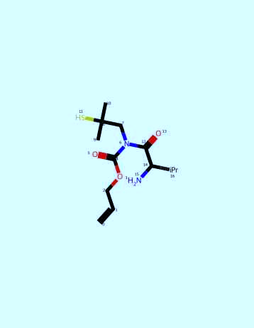 C=CCOC(=O)N(CC(C)(C)S)C(=O)C(N)C(C)C